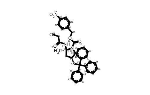 C[C@@]1(NC(=O)CCl)C[C@H](SC(c2ccccc2)(c2ccccc2)c2ccccc2)CN1C(=O)OCc1ccc([N+](=O)[O-])cc1